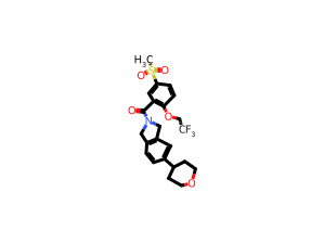 CS(=O)(=O)c1ccc(OCC(F)(F)F)c(C(=O)N2Cc3ccc(C4CCOCC4)cc3C2)c1